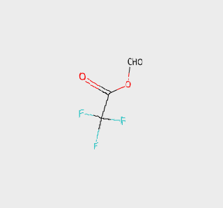 O=COC(=O)C(F)(F)F